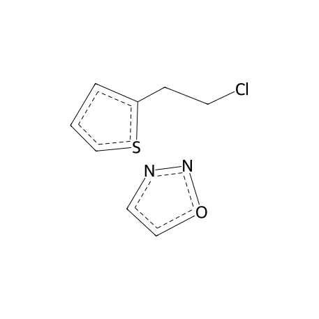 ClCCc1cccs1.c1conn1